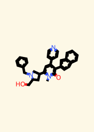 Cn1c(C2CC(CO)N(Cc3ccccc3)C2)cc(-c2ccncc2)c(-c2ccc3ccccc3c2)c1=O